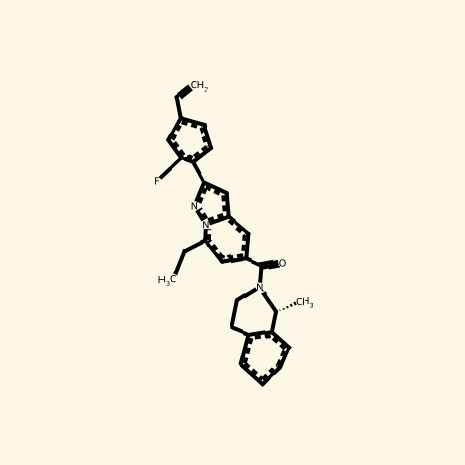 C=Cc1ccc(-c2cc3cc(C(=O)N4CCc5ccccc5[C@H]4C)cc(CC)n3n2)c(F)c1